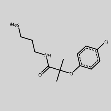 CSCCCNC(=O)C(C)(C)Oc1ccc(Cl)cc1